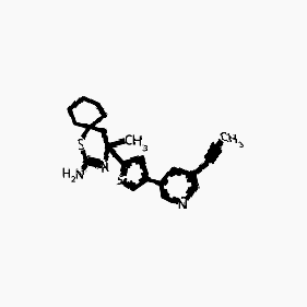 CC#Cc1cncc(-c2csc(C3(C)CC4(CCCCC4)SC(N)=N3)c2)c1